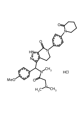 COc1ccc(C(c2n[nH]c3c2CCN(c2ccc(N4CCCCC4=O)cc2)C3=O)N(C)C(=O)CN(C)C)cc1.Cl